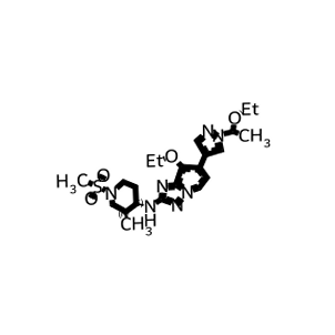 CCOc1c(-c2cnn(C(C)OCC)c2)ccn2nc(N[C@H]3CCN(S(C)(=O)=O)C[C@H]3C)nc12